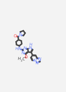 COc1nc(NC2CCC(C(=O)N3CCCC3)CC2)nc2[nH]cc(-c3ccn4ncnc4c3)c12